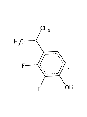 CC(C)c1ccc(O)c(F)c1F